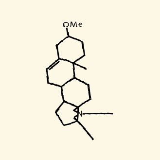 COC1CCC2(C)C(=CCC3C2CCC24CN(C)C(C)C2CCC34)C1